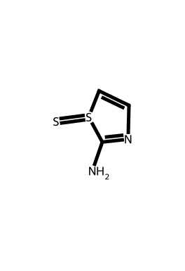 NC1=NC=CS1=S